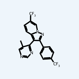 Cc1cn[c]nc1-c1c(-c2ccc(C(F)(F)F)cc2)nn2cc(C(F)(F)F)ccc12